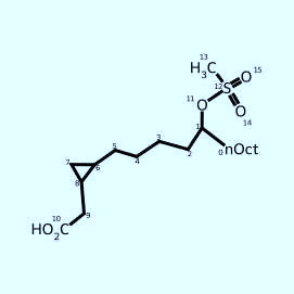 CCCCCCCCC(CCCCC1CC1CC(=O)O)OS(C)(=O)=O